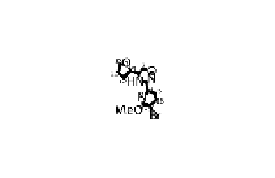 COc1nc(C2=NOCC(c3ccco3)N2)ccc1Br